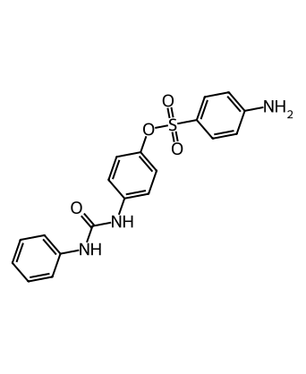 Nc1ccc(S(=O)(=O)Oc2ccc(NC(=O)Nc3ccccc3)cc2)cc1